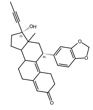 CC#C[C@]1(O)CCC2C3CCC4=CC(=O)CCC4=C3[C@@H](c3ccc4c(c3)OCO4)CC21C